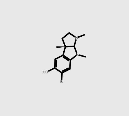 CN1CC[C@@]2(C)c3cc(O)c(Br)cc3N(C)C12